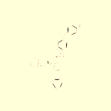 O=C(Nc1ccc(Oc2ccc(F)cc2)cc1)[C@@H]1C[C@@H](Cc2ccccc2)CN1C(=O)CN1CCSCC1